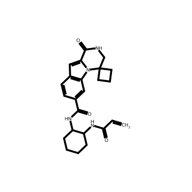 C=CC(=O)NC1CCCCC1NC(=O)c1ccc2cc3n(c2c1)C1(CCC1)CNC3=O